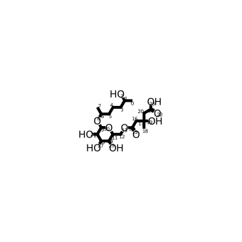 CC(O)CCCC(C)OC1OC(COC(=O)CC(C)(O)CC(=O)O)C(O)C(O)C1O